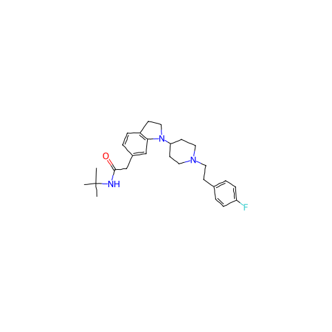 CC(C)(C)NC(=O)Cc1ccc2c(c1)N(C1CCN(CCc3ccc(F)cc3)CC1)CC2